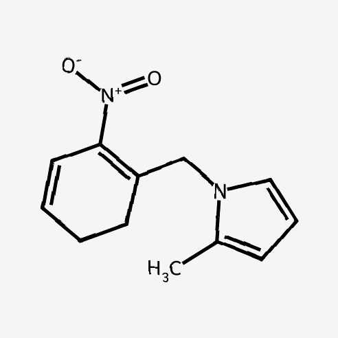 Cc1cccn1CC1=C([N+](=O)[O-])C=CCC1